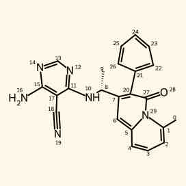 Cc1cccc2cc([C@@H](C)Nc3ncnc(N)c3C#N)c(-c3ccccc3)c(=O)n12